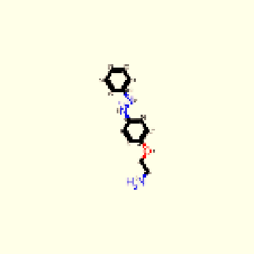 NCCOc1ccc(/N=N/c2ccccc2)cc1